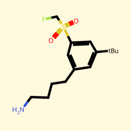 CC(C)(C)c1cc(CCCCN)cc(S(=O)(=O)CF)c1